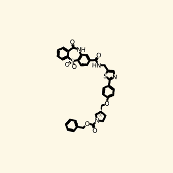 O=C(NCc1cnc(-c2ccc(OC[C@H]3CCN(C(=O)OCc4ccccc4)C3)cc2)s1)c1ccc2c(c1)NC(=O)c1ccccc1S2(=O)=O